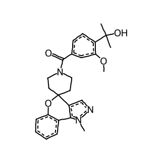 COc1cc(C(=O)N2CCC3(CC2)Oc2ccccc2-c2c3cnn2C)ccc1C(C)(C)O